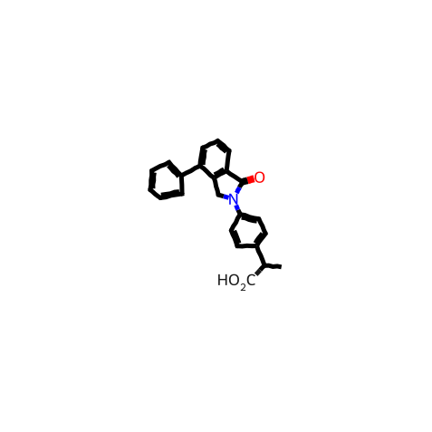 CC(C(=O)O)c1ccc(N2Cc3c(cccc3-c3ccccc3)C2=O)cc1